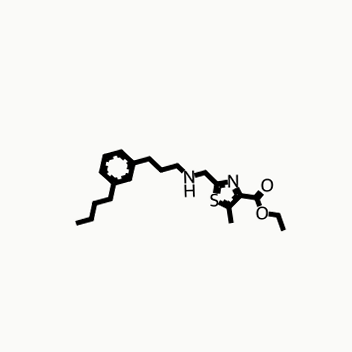 CCCCc1cccc(CCCNCc2nc(C(=O)OCC)c(C)s2)c1